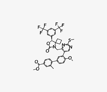 COC(=O)c1ccc(-c2ccc(OC)c(-c3cnc(SC)nc3CN3C(=O)O[C@@H](c4cc(C(F)(F)F)cc(C(F)(F)F)c4)C34CCC4)c2)c(C)c1